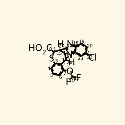 O=C(O)C1Sc2cccc(OC(F)F)c2[C@@H]2C[C@@H]1c1nc3ccc(Cl)cc3n12